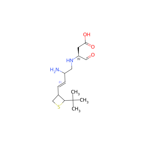 CC(C)(C)C1SCC1/C=C/C(N)CN[C@H](C=O)CC(=O)O